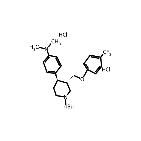 CCCCN1CC[C@@H](c2ccc(N(C)C)cc2)[C@H](COc2ccc(C(F)(F)F)cc2)C1.Cl.Cl